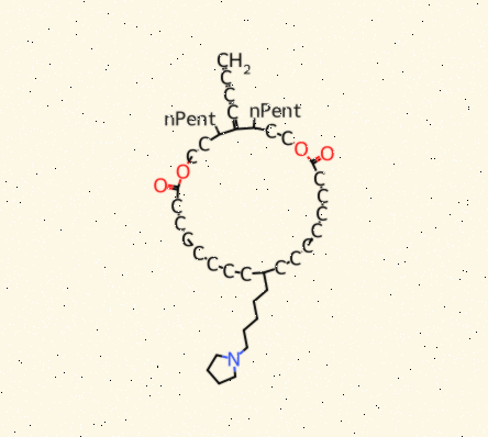 C=C=C=C=C1C(CCCCC)CCOC(=O)CCCCCCCC(CCCCCN2CCCC2)CCCCCCCC(=O)OCCC1CCCCC